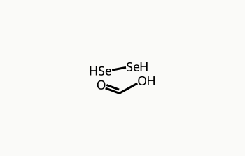 O=CO.[SeH][SeH]